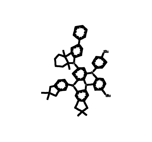 CC1(C)Cc2ccc(N3c4cc5c(cc4B4c6cc(C(C)(C)C)ccc6N(c6ccc(C(C)(C)C)cc6)c6cc(N7c8ccc(-c9ccccc9)cc8C8(C)CCCCC78C)cc3c64)CC(C)(C)C5)cc2C1